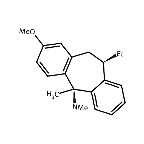 CC[C@@H]1Cc2cc(OC)ccc2[C@](C)(NC)c2ccccc21